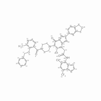 CCc1c(N2CCN(C(=O)c3ncnc(C)c3OCc3ccccc3)CC2)c(=O)n2nc(-c3ccc4c(c3)COC4)nc2n1CC(=O)Nc1c(Cl)cc(C(F)(F)F)c2ccoc12